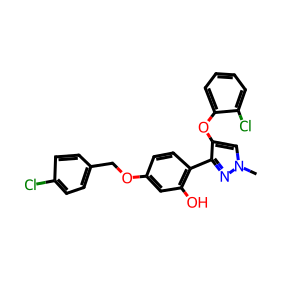 Cn1cc(Oc2ccccc2Cl)c(-c2ccc(OCc3ccc(Cl)cc3)cc2O)n1